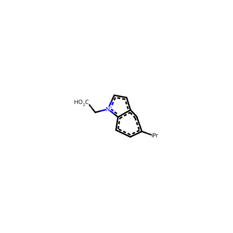 CC(C)c1ccc2c(ccn2CC(=O)O)c1